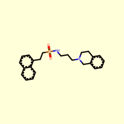 O=S(=O)(CCc1cccc2ccccc12)NCCCN1CCc2ccccc2C1